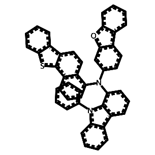 c1ccc(-n2c3ccccc3c3cccc(N(c4ccc5c(c4)oc4ccccc45)c4cccc5c4ccc4c6ccccc6sc54)c32)cc1